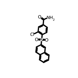 NC(=O)c1ccc(S(=O)(=O)c2ccc3ccccc3c2)c(Cl)c1